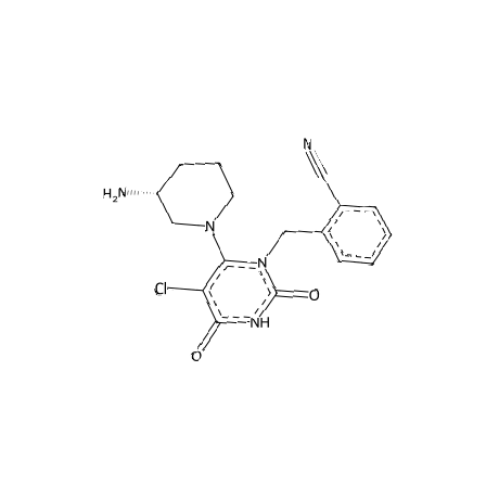 N#Cc1ccccc1Cn1c(N2CCC[C@@H](N)C2)c(Cl)c(=O)[nH]c1=O